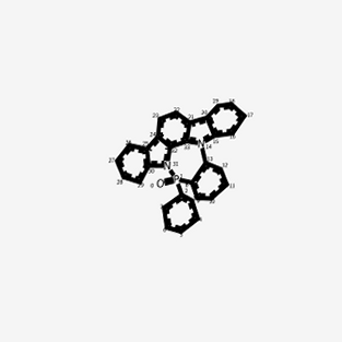 O=P1(c2ccccc2)c2ccccc2-n2c3ccccc3c3ccc4c5ccccc5n1c4c32